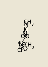 Cc1cccc(Cl)c1S(=O)(=O)N1CCC[C@H]1CCCS(=O)(=O)N1CCN(C2CCN(C)CC2)CC1